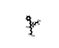 O=C(O)CCCC(O)C(C=Cc1ccccc1)S(=O)(=O)CCC(=O)O